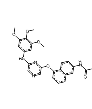 COc1cc(Nc2cncc(Oc3cccc4cc(NC(C)=O)ccc34)n2)cc(OC)c1OC